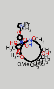 CO[C@H]1/C=C/O[C@@]2(C)Oc3c(C)c(O)c4c(=O)c(c5oc6cc(OCC7CCC[N+]7(C)C(C)C)ccc6nc-5c4c3C2=O)NC(=O)/C(C)=C\C=C\[C@H](C)[C@H](O)[C@@H](C)[C@@H](C)[C@@H](C)[C@H](OC(C)=O)[C@@H]1C